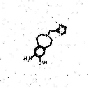 COc1cc2c(cc1N)CCN(Cc1ncco1)CC2